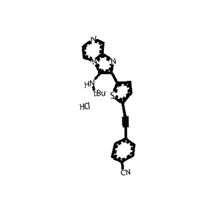 CC(C)(C)Nc1c(-c2ccc(C#Cc3ccc(C#N)cc3)s2)nc2cnccn12.Cl